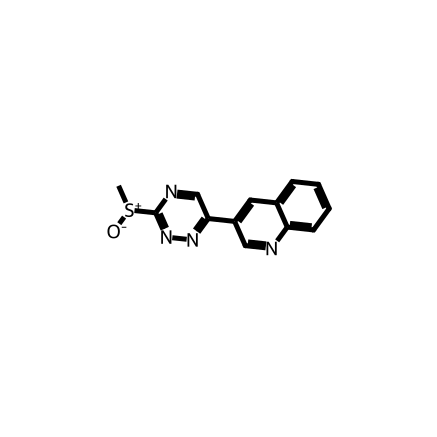 C[S+]([O-])c1ncc(-c2cnc3ccccc3c2)nn1